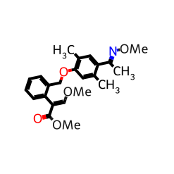 CO/C=C(/C(=O)OC)c1ccccc1COc1cc(C)c(/C(C)=N/OC)cc1C